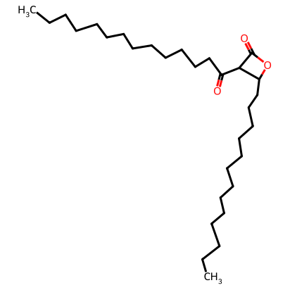 CCCCCCCCCCCCCC(=O)C1C(=O)OC1CCCCCCCCCCCCC